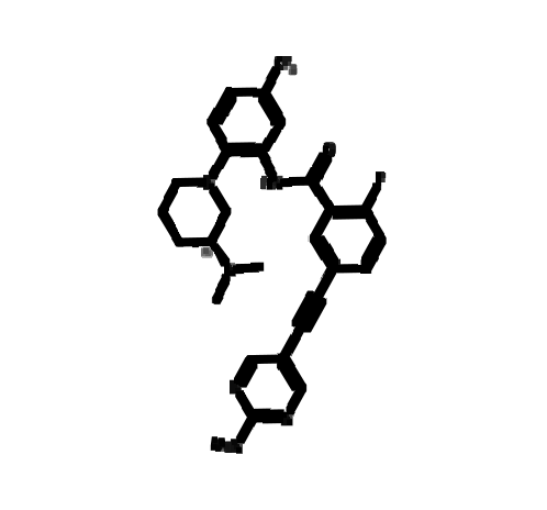 CNc1ncc(C#Cc2ccc(F)c(C(=O)Nc3cc(C(F)(F)F)ccc3N3CCC[C@H](N(C)C)C3)c2)cn1